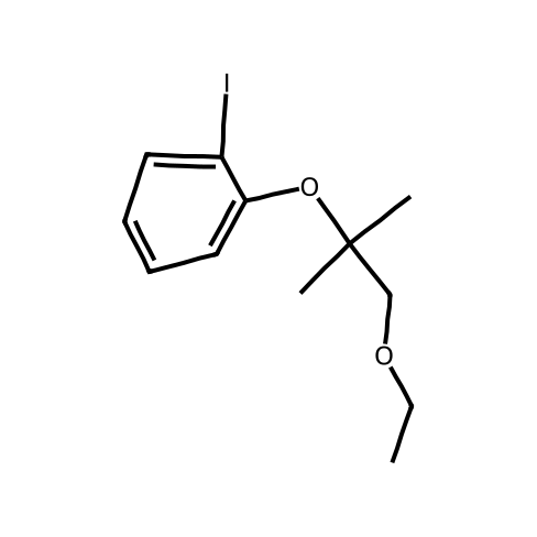 CCOCC(C)(C)Oc1ccccc1I